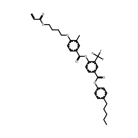 C=CC(=O)OCCCCOc1ccc(C(=O)Oc2ccc(C(=O)Oc3ccc(CCCCC)cc3)cc2C(F)(F)F)cc1C